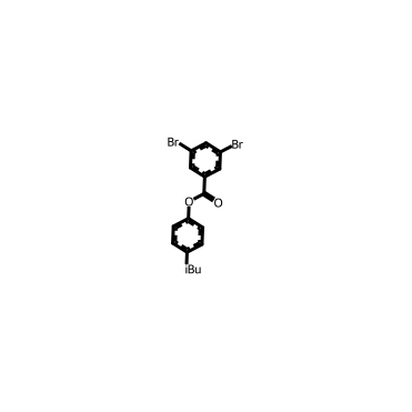 CCC(C)c1ccc(OC(=O)c2cc(Br)cc(Br)c2)cc1